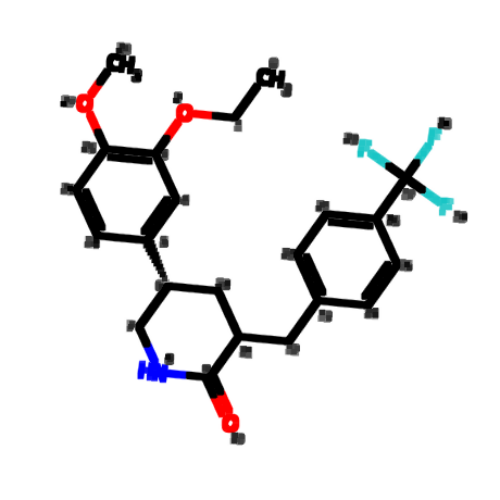 CCOc1cc([C@H]2CNC(=O)C(Cc3ccc(C(F)(F)F)cc3)C2)ccc1OC